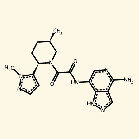 C[C@@H]1CC[C@H](c2ccnn2C)N(C(=O)C(=O)Nc2cnc(N)c3cn[nH]c23)C1